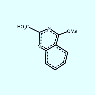 COc1nc(C(=O)O)nc2ccccc12